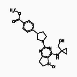 COC(=O)c1ccc(C2CCN(c3nc4c(c(NC5(CO)CC5)n3)[S+]([O-])CC4)C2)cc1